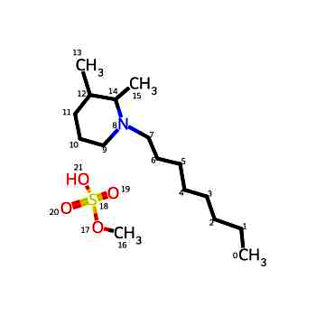 CCCCCCCCN1CCCC(C)C1C.COS(=O)(=O)O